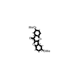 COc1ccc2oc3c(oc4ccc(OC)cc43)c(=O)c2c1